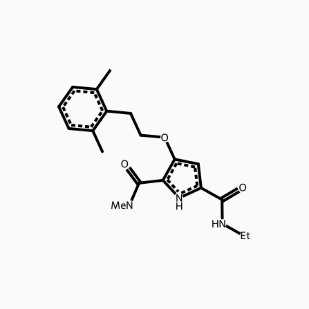 CCNC(=O)c1cc(OCCc2c(C)cccc2C)c(C(=O)NC)[nH]1